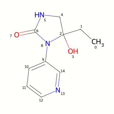 CCC1(O)CNC(=O)N1c1cccnc1